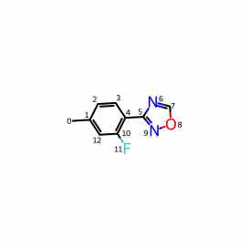 Cc1ccc(-c2ncon2)c(F)c1